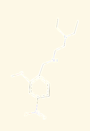 CCN(CC)CCNCc1ccc([N+](=O)[O-])cc1OC